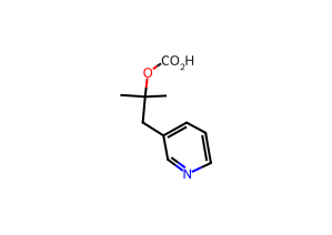 CC(C)(Cc1cccnc1)OC(=O)O